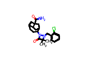 CC1(C)C(=O)N(C2CCC3CC4(C(N)=O)CC2CC34)N1Cc1ccccc1Cl